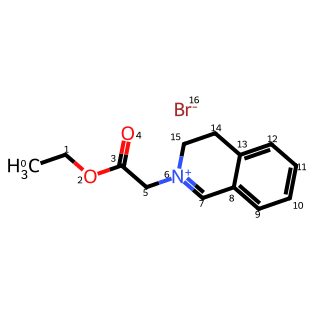 CCOC(=O)C[N+]1=Cc2ccccc2CC1.[Br-]